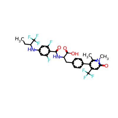 CCC(Nc1cc(F)c(C(=O)NC(Cc2ccc(-c3c(C(F)(F)F)cc(=O)n(C)c3C)cc2)C(=O)O)c(F)c1)C(F)(F)F